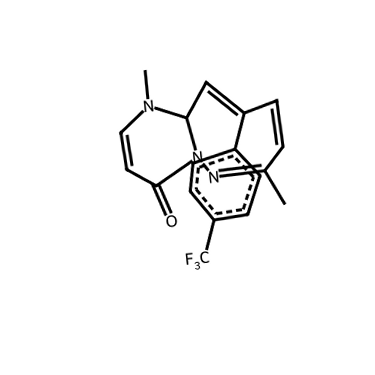 CC1=N/N2C(=O)C=CN(C)C2/C=C(c2ccc(C(F)(F)F)cc2)/C=C\1